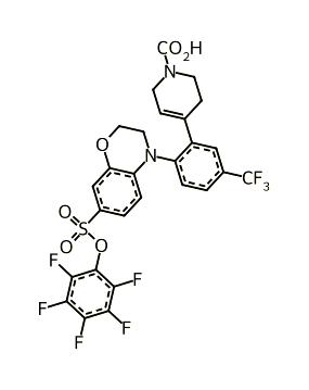 O=C(O)N1CC=C(c2cc(C(F)(F)F)ccc2N2CCOc3cc(S(=O)(=O)Oc4c(F)c(F)c(F)c(F)c4F)ccc32)CC1